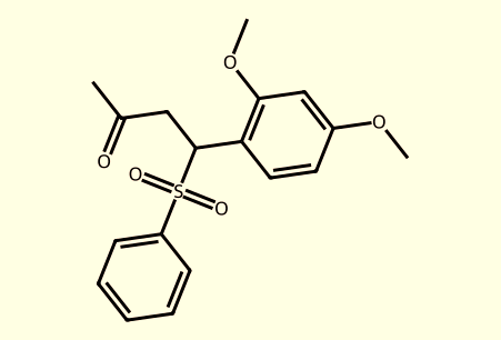 COc1ccc(C(CC(C)=O)S(=O)(=O)c2ccccc2)c(OC)c1